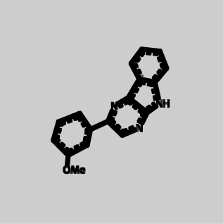 COc1cccc(-c2cnc3[nH]c4ccccc4c3n2)c1